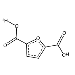 [2H]OC(=O)c1ccc(C(=O)O)o1